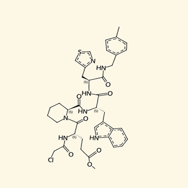 COC(=O)CC[C@H](NC(=O)CCl)C(=O)N1CCCC[C@H]1C(=O)N[C@@H](Cc1c[nH]c2ccccc12)C(=O)N[C@@H](Cc1cscn1)C(=O)NCc1ccc(C)cc1